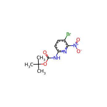 CC(C)(C)OC(=O)Nc1ccc(Br)c([N+](=O)[O-])n1